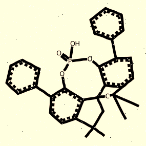 CC1(C)CC23CC(C)(C)c4ccc(-c5ccccc5)c(c42)OP(=O)(O)Oc2c(-c4ccccc4)ccc1c23